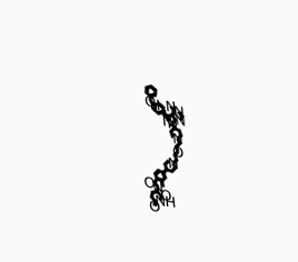 Nc1ncnc2c1c(-c1ccc(Oc3ccccc3)cc1)nn2C1CCN(CCOCCN2CCC(c3ccc4c(c3)CN(C3CCC(=O)NC3=O)C4=O)CC2)CC1